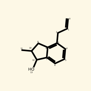 C=CCc1cccc2c1CC(C)C2O